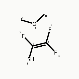 COC.FC(F)=C(F)S